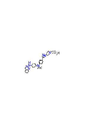 CC(=O)N(c1ccc(-c2cnn(C3CCN(CC(=O)O)CC3)c2)cc1)C1CCC(Nc2ncc3ccccc3n2)CC1